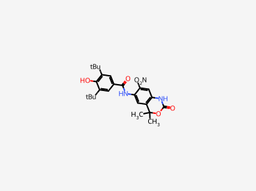 CC(C)(C)c1cc(C(=O)Nc2cc3c(cc2[N+](=O)[O-])NC(=O)OC3(C)C)cc(C(C)(C)C)c1O